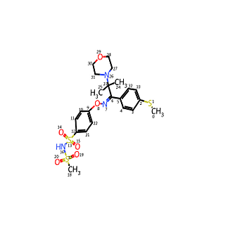 CSc1ccc(C(=NOc2ccc(S(=O)(=O)NS(C)(=O)=O)cc2)C(C)(C)N2CCOCC2)cc1